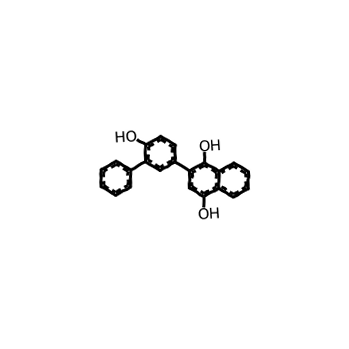 Oc1ccc(-c2cc(O)c3ccccc3c2O)cc1-c1ccccc1